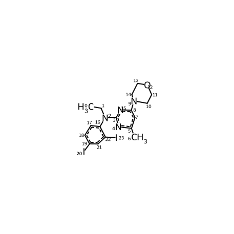 CCN(c1nc(C)cc(N2CCOCC2)n1)c1ccc(I)cc1I